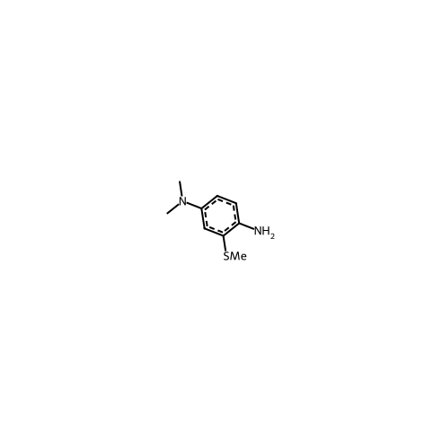 CSc1cc(N(C)C)ccc1N